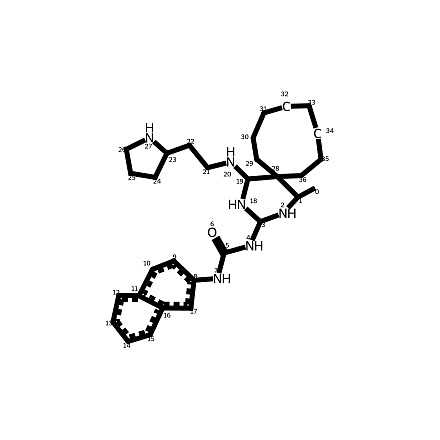 CC1NC(NC(=O)Nc2ccc3ccccc3c2)NC(NCCC2CCCN2)C12CCCCCCCC2